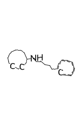 c1ccccc(CCCCCNC2CCCCCCCCCC2)cccc1